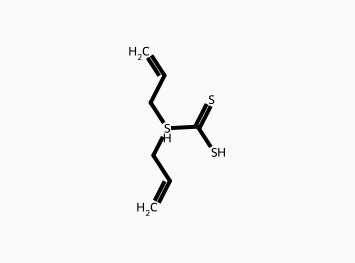 C=CC[SH](CC=C)C(=S)S